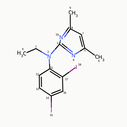 CCN(c1nc(C)cc(C)n1)c1ccc(I)cc1I